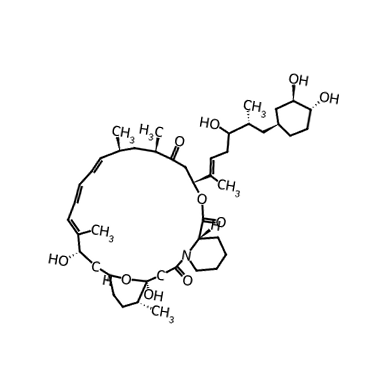 C/C(=C\CC(O)[C@H](C)C[C@@H]1CC[C@@H](O)[C@H](O)C1)[C@@H]1CC(=O)[C@H](C)C[C@H](C)/C=C/C=C/C=C(\C)[C@@H](O)C[C@@H]2CC[C@@H](C)[C@](O)(CC(=O)N3CCCC[C@H]3C(=O)O1)O2